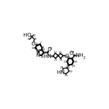 CC(C)(O)COc1ccc2c(C(=O)NC3CC4(C3)CC(Oc3cc([C@H]5CCNC5)ccc3C(N)=O)C4)cnn2c1